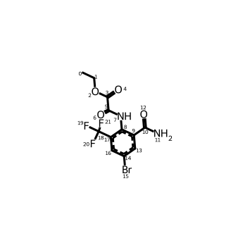 CCOC(=O)C(=O)Nc1c(C(N)=O)cc(Br)cc1C(F)(F)F